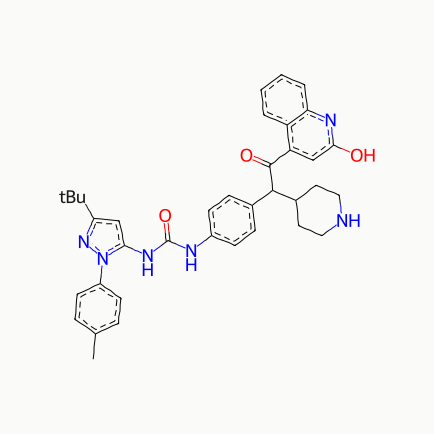 Cc1ccc(-n2nc(C(C)(C)C)cc2NC(=O)Nc2ccc(C(C(=O)c3cc(O)nc4ccccc34)C3CCNCC3)cc2)cc1